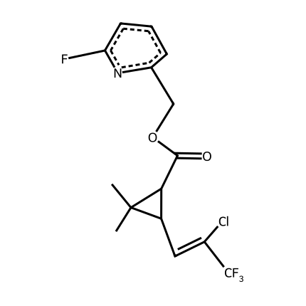 CC1(C)C(C=C(Cl)C(F)(F)F)C1C(=O)OCc1cccc(F)n1